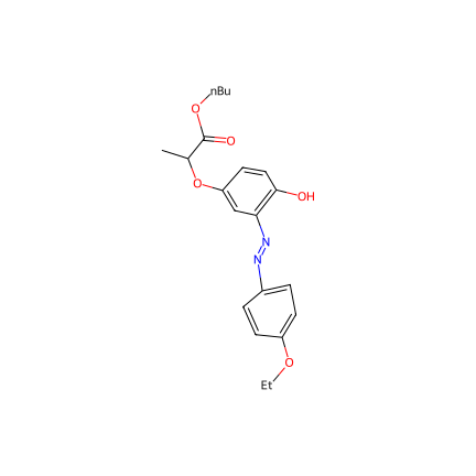 CCCCOC(=O)C(C)Oc1ccc(O)c(/N=N/c2ccc(OCC)cc2)c1